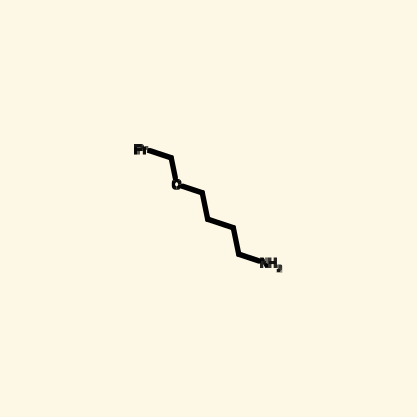 CC(C)COCCCCN